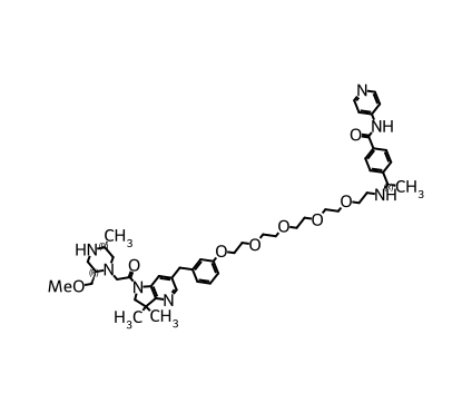 COC[C@H]1CN[C@H](C)CN1CC(=O)N1CC(C)(C)c2ncc(Cc3cccc(OCCOCCOCCOCCOCCN[C@H](C)c4ccc(C(=O)Nc5ccncc5)cc4)c3)cc21